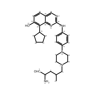 CC(CC(N)C=O)CN1CCN(c2ccc(Nc3ncc4ccc(O)c(C5CCCC5)c4n3)cc2)CC1